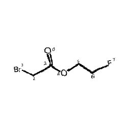 O=C(CBr)OCCF